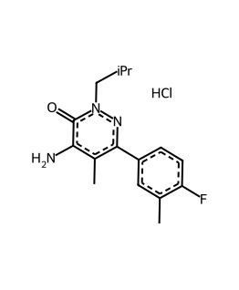 Cc1cc(-c2nn(CC(C)C)c(=O)c(N)c2C)ccc1F.Cl